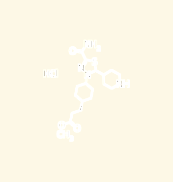 COC(=O)CC[C@H]1CC[C@H](N2N=C(C(N)=O)SC2C2CCNCC2)CC1.Cl